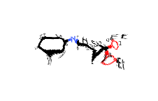 CCOC([SiH3])(CCC=NC1CCCCC1)OCC